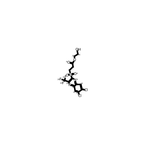 O=C(CCS(=O)(=O)c1nc2cc(Cl)c(Cl)cc2nc1C(F)(F)F)OCCO